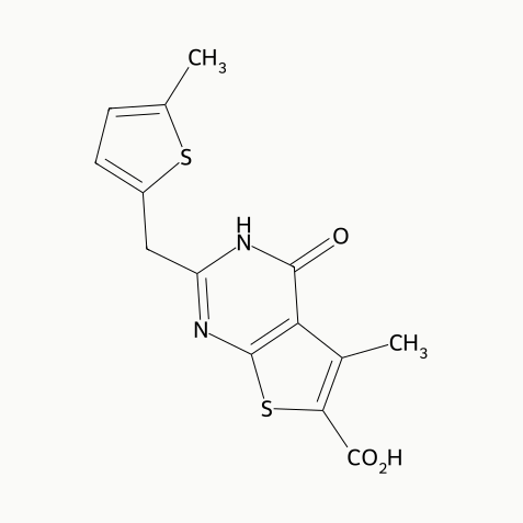 Cc1ccc(Cc2nc3sc(C(=O)O)c(C)c3c(=O)[nH]2)s1